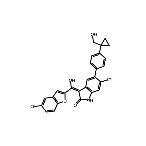 O=C1Nc2cc(Cl)c(-c3ccc(C4(CO)CC4)cc3)cc2C1=C(O)c1cc2cc(Cl)ccc2o1